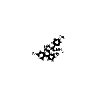 COc1ccc(Cn2nnnc2-c2c(-c3ccc(Br)nc3)cccc2S(N)(=O)=O)cc1